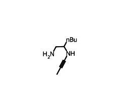 CC#CNC(CN)CCCC